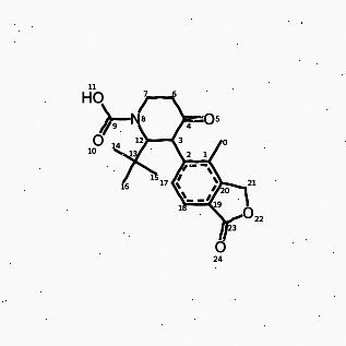 Cc1c(C2C(=O)CCN(C(=O)O)C2C(C)(C)C)ccc2c1COC2=O